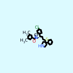 Cc1cc(C)cc(C(=O)N(C)C[C@@H](CCC2Sc3ccccc3C23CCNCC3)c2ccc(Cl)cc2)c1